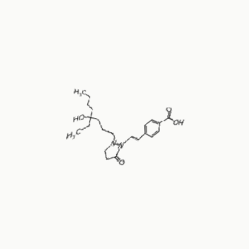 CCCCC(O)(CC)CCCN1CCC(=O)N1CCc1ccc(C(=O)O)cc1